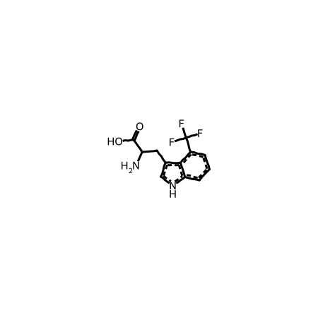 NC(Cc1c[nH]c2cccc(C(F)(F)F)c12)C(=O)O